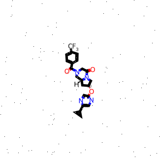 O=C(c1ccc(C(F)(F)F)cc1)N1CC(=O)N2C[C@H](Oc3cnc(C4CC4)cn3)C[C@H]2C1